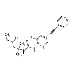 COC(=O)CC(C)(C)NC(=O)Nc1c(F)cc(C#Cc2ccccc2)cc1F